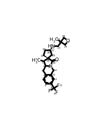 CC1C2Cc3ccc(C(F)(F)F)cc3CN2C(=O)[C@]12CC[C@@H](NCC1(C)COC1)C2